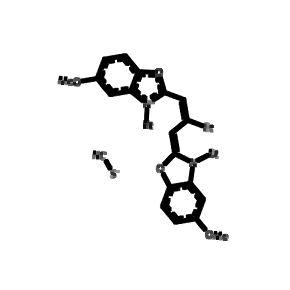 CCC(=Cc1oc2ccc(OC)cc2[n+]1CC)C=C1Oc2ccc(OC)cc2N1CC.N#C[S-]